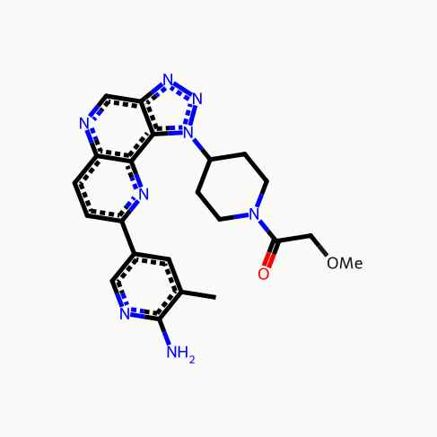 COCC(=O)N1CCC(n2nnc3cnc4ccc(-c5cnc(N)c(C)c5)nc4c32)CC1